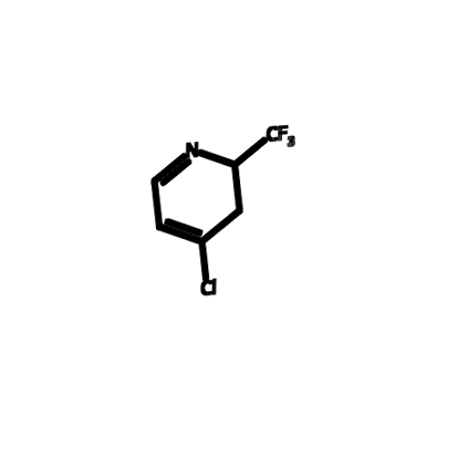 FC(F)(F)C1CC(Cl)=CC=N1